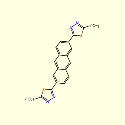 CCCCCCCCc1nnc(-c2ccc3cc4cc(-c5nnc(CCCCCCCC)s5)ccc4cc3c2)s1